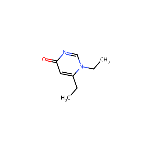 CCc1cc(=O)ncn1CC